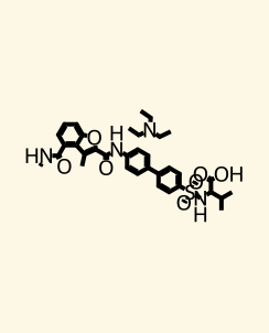 CCN(CC)CC.CNC(=O)c1cccc2oc(C(=O)Nc3ccc(-c4ccc(S(=O)(=O)NC(C(=O)O)C(C)C)cc4)cc3)c(C)c12